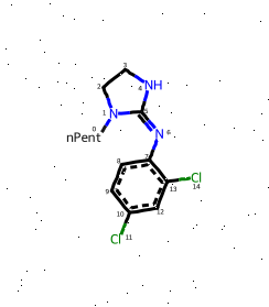 CCCCCN1CCNC1=Nc1ccc(Cl)cc1Cl